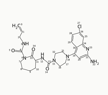 C=CCNC(=O)N1CCCCC(NC(=O)N2CCN(c3cc(N)nc4cc(Cl)ccc34)CC2)C1=O